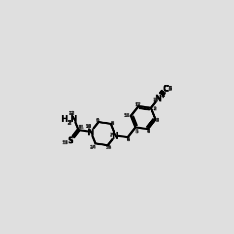 [C-]#[N+]c1ccc(CN2CCN(C(N)=S)CC2)cc1